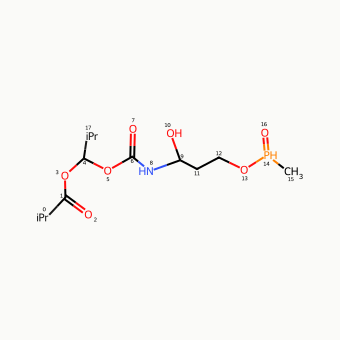 CC(C)C(=O)OC(OC(=O)NC(O)CCO[PH](C)=O)C(C)C